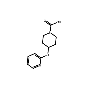 O=C(O)N1CCC(Oc2ccccn2)CC1